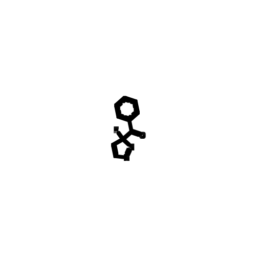 O=C(c1ccccc1)C1(F)C=CN=N1